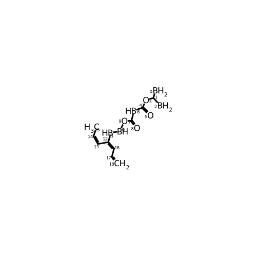 BC(B)OC(=O)BC(=O)OBBC(/C=C\C)=C/C=C